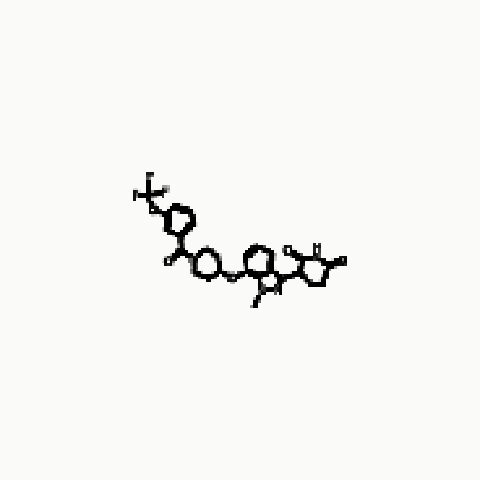 Cn1nc(C2CCC(=O)NC2=O)c2cccc(OC3CCN(C(=O)c4cccc(OC(F)(F)F)c4)CC3)c21